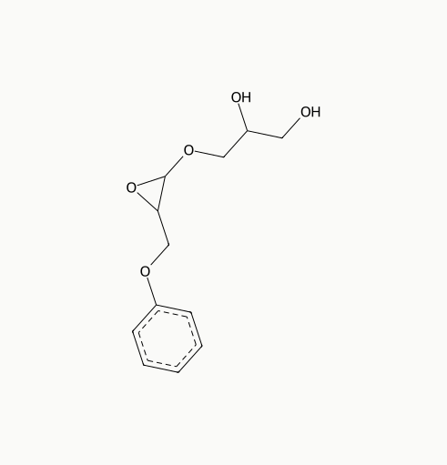 OCC(O)COC1OC1COc1ccccc1